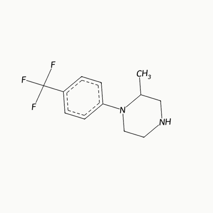 CC1CNCCN1c1ccc(C(F)(F)F)cc1